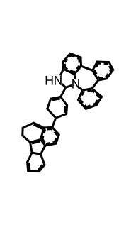 C1=CC2C3=c4c(ccc(C5C=CC(C6Nc7cccc8c7N6c6ccccc6-c6ccccc6-8)=CC5)c4=CCC3)C2C=C1